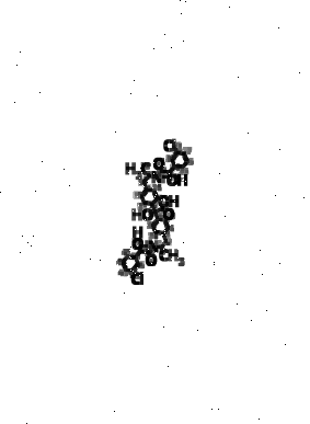 CC(Cc1ccc(C(O)(C(=O)O)c2ccc(CC(C)NC(=O)C(O)c3cccc(Cl)c3)cc2)cc1)NC(=O)C(O)c1cccc(Cl)c1